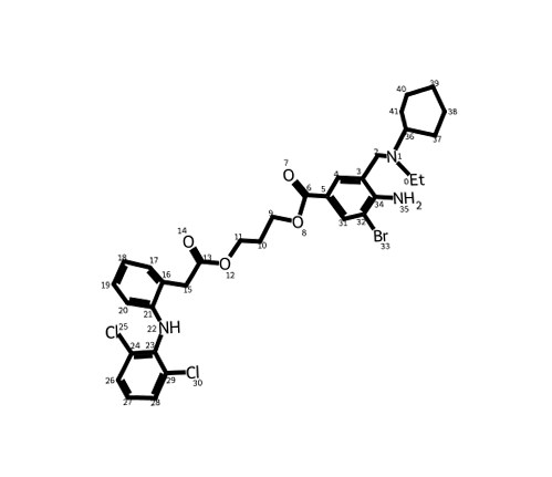 CCN(Cc1cc(C(=O)OCCCOC(=O)Cc2ccccc2Nc2c(Cl)cccc2Cl)cc(Br)c1N)C1CCCCC1